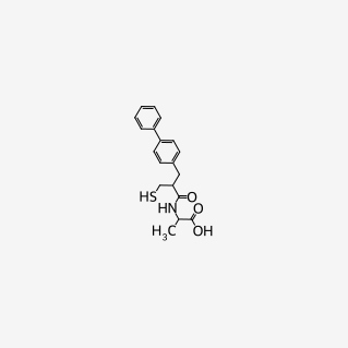 CC(NC(=O)C(CS)Cc1ccc(-c2ccccc2)cc1)C(=O)O